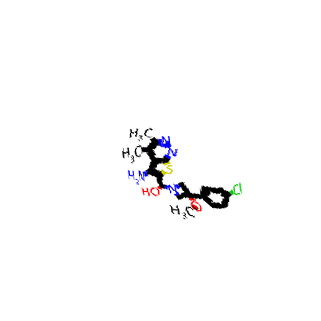 COC1(c2ccc(Cl)cc2)CN(C(O)c2sc3nnc(C)c(C)c3c2N)C1